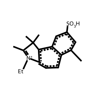 CC[N+]1=C(C)C(C)(C)c2c1ccc1c(C)cc(S(=O)(=O)O)cc21